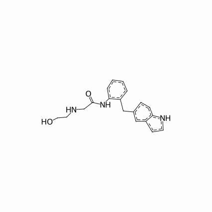 O=C(CNCCO)Nc1ccccc1Cc1ccc2[nH]ccc2c1